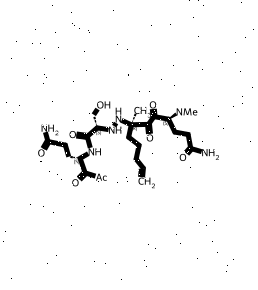 C=CCCC[C@@](C)(NN[C@@H](CO)C(=O)N[C@@H](CCC(N)=O)C(=O)C(C)=O)C(=O)C(=O)[C@H](CCC(N)=O)NC